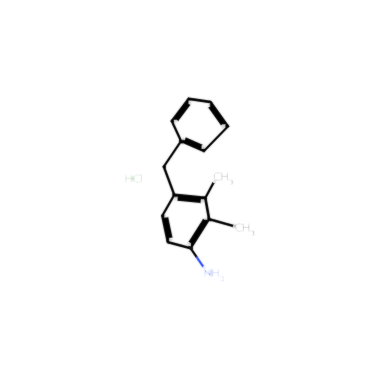 Cc1c(N)ccc(Cc2ccccc2)c1C.Cl